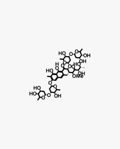 CO[C@H](C(=O)[C@@H](O)[C@@H](C)O)[C@@H]1Cc2cc3cc(O[C@H]4C[C@@H](O[C@H]5C[C@@H](O)[C@H](O)C(C)O5)[C@H](O)C(C)O4)c(C)c(O)c3c(O)c2C(=O)[C@H]1O[C@H]1C[C@@H](O[C@H]2C[C@@H](O)[C@@H](O)C(C)O2)[C@H](O)C(C)O1